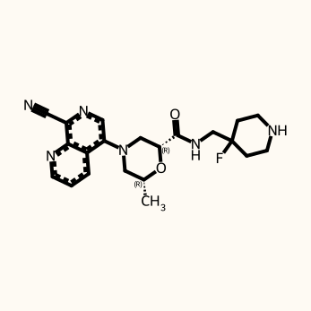 C[C@@H]1CN(c2cnc(C#N)c3ncccc23)C[C@H](C(=O)NCC2(F)CCNCC2)O1